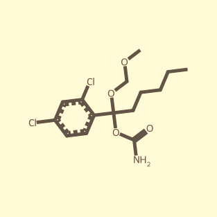 CCCCCC(OCOC)(OC(N)=O)c1ccc(Cl)cc1Cl